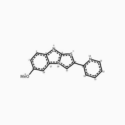 COc1ccc2nc3sc(-c4ccccn4)cn3c2c1